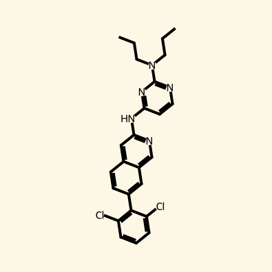 CCCN(CCC)c1nccc(Nc2cc3ccc(-c4c(Cl)cccc4Cl)cc3cn2)n1